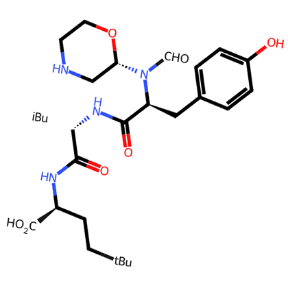 CC[C@H](C)[C@H](NC(=O)[C@H](Cc1ccc(O)cc1)N(C=O)[C@@H]1CNCCO1)C(=O)N[C@@H](CCC(C)(C)C)C(=O)O